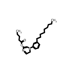 CCCCCCCCCc1cccc(N2C=C(OC(=O)CCCC)N=CC2)c1